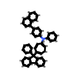 C1=CC(C2(c3ccccc3)c3ccccc3-c3ccccc32)=CCC=C1N(c1ccccc1)c1ccc(-c2cccc3ccccc23)cc1